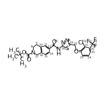 CC(C)(C)OC(=O)N1CCc2cc(C(=O)Nc3nnc(COc4cccc(C(F)(F)F)c4Cl)s3)ccc2C1